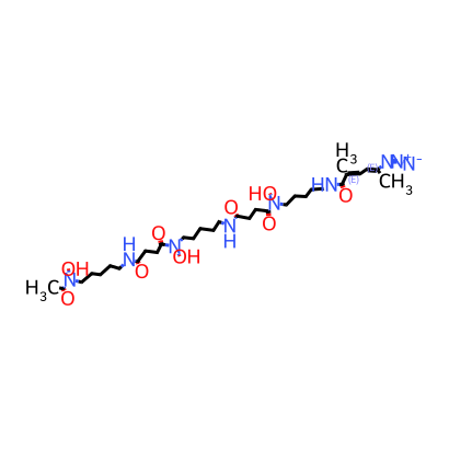 CC(=O)N(O)CCCCCNC(=O)CCC(=O)N(O)CCCCCNC(=O)CCC(=O)N(O)CCCCCNC(=O)/C(C)=C/C=C(\C)N=[N+]=[N-]